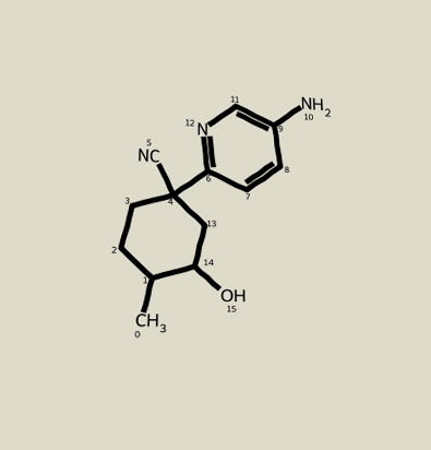 CC1CCC(C#N)(c2ccc(N)cn2)CC1O